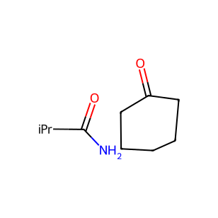 CC(C)C(N)=O.O=C1CCCCC1